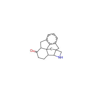 O=C1CCC2C3NCC34Cc3cccc5c3C2(C4)C1C5